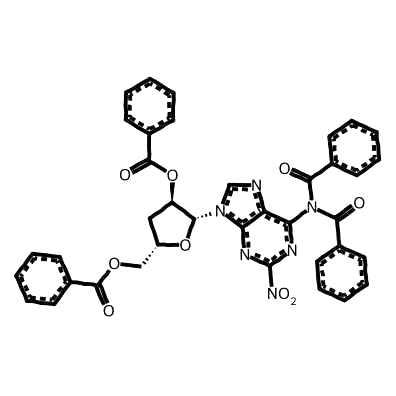 O=C(OC[C@@H]1C[C@@H](OC(=O)c2ccccc2)[C@H](n2cnc3c(N(C(=O)c4ccccc4)C(=O)c4ccccc4)nc([N+](=O)[O-])nc32)O1)c1ccccc1